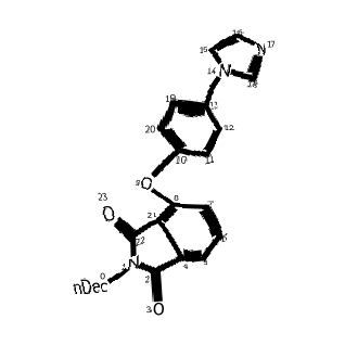 CCCCCCCCCCN1C(=O)c2cccc(Oc3ccc(-n4ccnc4)cc3)c2C1=O